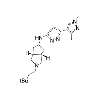 Cc1nn(C)cc1-c1ccc(NC2C[C@@H]3CN(CCC(C)(C)C)C[C@@H]3C2)nn1